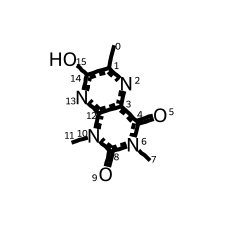 Cc1nc2c(=O)n(C)c(=O)n(C)c2nc1O